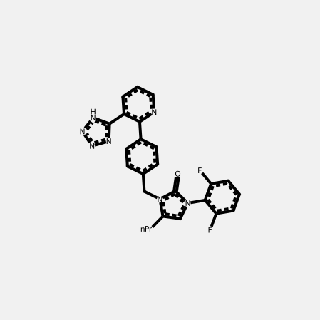 CCCc1cn(-c2c(F)cccc2F)c(=O)n1Cc1ccc(-c2ncccc2-c2nnn[nH]2)cc1